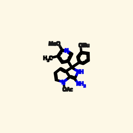 COc1ncc(C2(c3cccc(OCC(C)C)c3)NC(N)=C3C2=CC=CN3OC(C)=O)cc1C